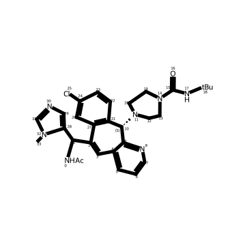 CC(=O)NC(C1=Cc2cccnc2[C@@H](N2CCN(C(=O)NC(C)(C)C)CC2)c2ccc(Cl)cc21)c1cncn1C